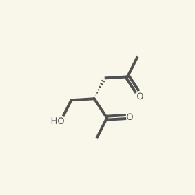 CC(=O)C[C@@H](CO)C(C)=O